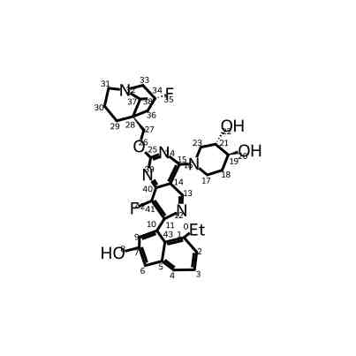 CCc1cccc2cc(O)cc(-c3ncc4c(N5CC[C@H](O)[C@@H](O)C5)nc(OC[C@]56CCCN(C[C@H](F)C5)C6C)nc4c3F)c12